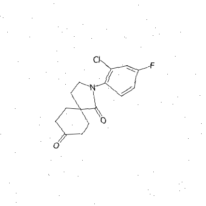 O=C1CCC2(CC1)CCN(c1ccc(F)cc1Cl)C2=O